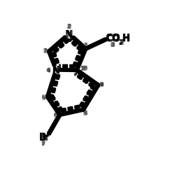 O=C(O)c1ncn2cc(Br)ccc12